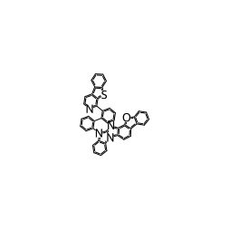 c1ccc(-c2nccc3c2sc2ccccc23)c(-c2ccccc2-n2c3ccccc3n3c4ccc5c6ccccc6oc5c4nc23)c1